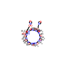 CC[C@@H]1NC(=O)[C@H]([C@H](O)[C@H](C)CCCCCOC(=O)N2CCOCC2)N(C)C(=O)[C@H](C(C)C)N(C)C(=O)[C@H](CC(C)C)N(C)C(=O)[C@H](CC(C)C)N(C)C(=O)[C@@H](C)NC(=O)[C@H](C)NC(=O)[C@H](CC(C)C)N(C)C(=O)[C@H](C(C)C)NC(=O)[C@H]([C@@H](C)OCCCCN2CCOCC2)N(C)C(=O)[C@@H](C)N(C)C1=O